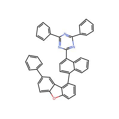 c1ccc(-c2ccc3oc4cccc(-c5ccc(-c6nc(-c7ccccc7)nc(-c7ccccc7)n6)c6ccccc56)c4c3c2)cc1